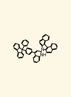 C1=C(c2ccc(C3(c4ccccc4)c4ccccc4-c4ccccc43)cc2)c2ccccc2NC1n1c2ccc3ccccc3c2c2c3ccccc3ccc21